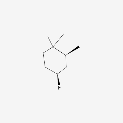 C[C@H]1C[C@@H](F)CCC1(C)C